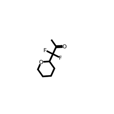 CC(=O)C(F)(F)C1CCCCO1